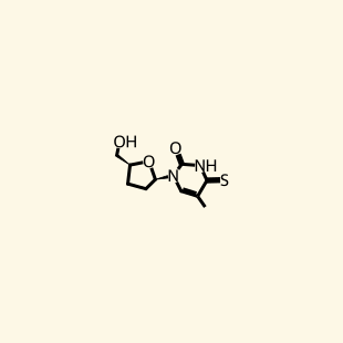 Cc1cn([C@H]2CC[C@@H](CO)O2)c(=O)[nH]c1=S